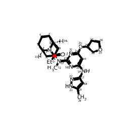 CCC(=O)N1[C@@H]2CCC[C@H]1C[C@H](N(C)c1nc(Nc3cc(C)[nH]n3)cc(OC3CCOC3)n1)C2